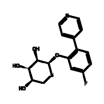 O[C@@H]1[C@@H](O)[C@@H](Oc2cc(F)ccc2-c2ccncc2)SC[C@H]1O